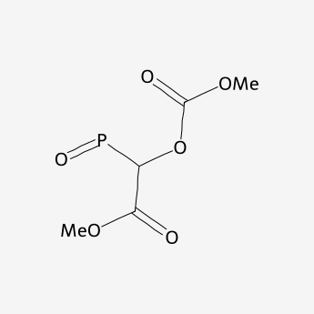 COC(=O)OC(P=O)C(=O)OC